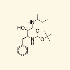 CCC(C)NC[C@H](O)[C@H](Cc1ccccc1)NC(=O)OC(C)(C)C